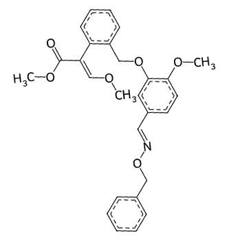 CO/C=C(/C(=O)OC)c1ccccc1COc1cc(/C=N/OCc2ccccc2)ccc1OC